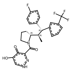 C[C@H]([C@H](c1ccc(F)cc1)c1cccc(C(F)(F)F)c1)[C@H]1CCCN1C(=O)c1n[nH]cc(O)c1=O